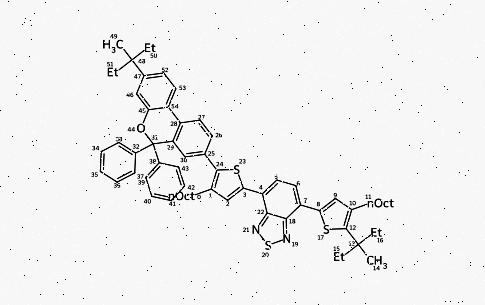 CCCCCCCCc1cc(-c2ccc(-c3cc(CCCCCCCC)c(C(C)(CC)CC)s3)c3nsnc23)sc1-c1ccc2c(c1)C(c1ccccc1)(c1ccccc1)Oc1cc(C(C)(CC)CC)ccc1-2